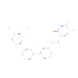 COc1nc(-c2cccc(-c3cccc(NC(=O)c4cn(C)c(=O)n(C)c4=O)c3Cl)c2Cl)ncc1C=O